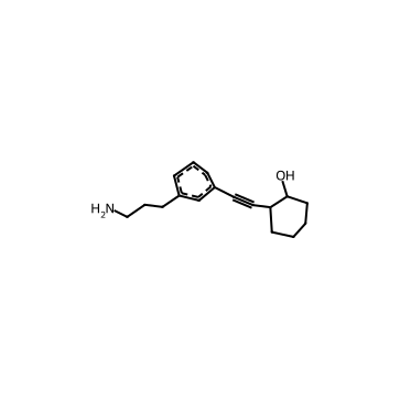 NCCCc1cccc(C#CC2CCCCC2O)c1